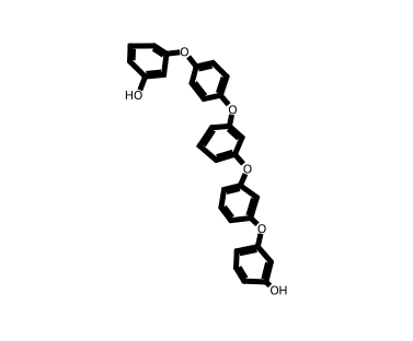 Oc1cccc(Oc2ccc(Oc3cccc(Oc4cccc(Oc5cccc(O)c5)c4)c3)cc2)c1